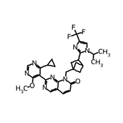 COc1ncnc(C2CC2)c1-c1ncc2ccc(=O)n(CC34CC(C3)C(c3nc(C(F)(F)F)cn3C(C)C)C4)c2n1